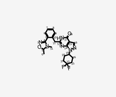 CC1ON=C(c2ccccc2Cc2nc3c(cnn3C3CCC(F)(F)CC3)c(=O)[nH]2)N1C